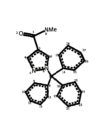 CNC(=O)c1cnn(C(c2ccccc2)(c2ccccc2)c2ccccc2)c1